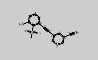 CS(=O)(=O)c1c(O)cccc1C#Cc1cncc(C#N)c1